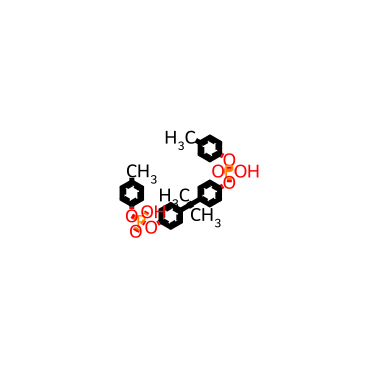 Cc1ccc(OP(=O)(O)Oc2ccc(C(C)(C)c3ccc(OP(=O)(O)Oc4ccc(C)cc4)cc3)cc2)cc1